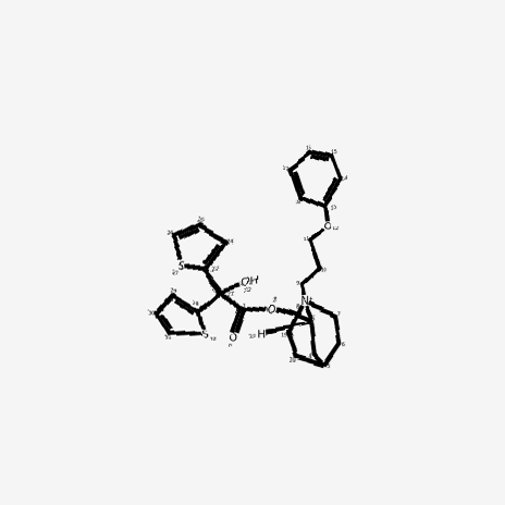 O=C(O[C@H]1CC2CC[N+]1(CCCOc1ccccc1)CC2)C(O)(c1cccs1)c1cccs1